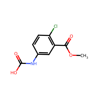 COC(=O)c1cc(NC(=O)O)ccc1Cl